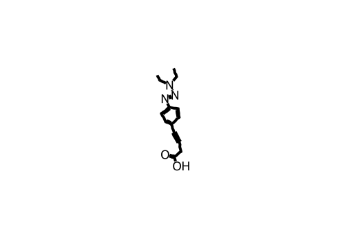 CCN(CC)/N=N/c1ccc(C#CCC(=O)O)cc1